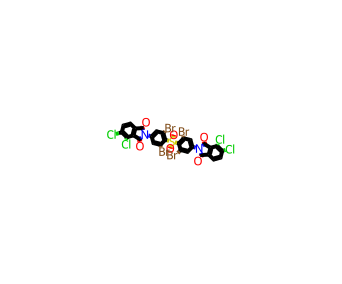 O=C1c2ccc(Cl)c(Cl)c2C(=O)N1c1cc(Br)c(S(=O)(=O)c2c(Br)cc(N3C(=O)c4ccc(Cl)c(Cl)c4C3=O)cc2Br)c(Br)c1